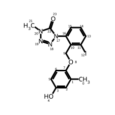 Cc1cc(O)ccc1OCc1c(I)cccc1-n1nnn(C)c1=O